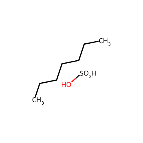 CCCCCCC.O=S(=O)(O)O